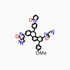 COc1ccc(C2C=C(c3nc(CN(C)C)co3)Cc3c2ccc2c3CC(c3ccc(-n4ccccc4=O)cc3)c3ccccc3-2)cc1.O=C1N=CC=C2C=NN=C12